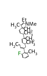 C=C/C=C(\CC(C)/C=C\C(=C)C(C)/C=C\C(=C)/C(C)=C(/CC)NC)c1c(C)cccc1F